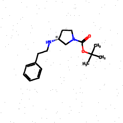 CC(C)(C)OC(=O)N1CC[C@@H](NCCc2ccccc2)C1